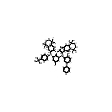 Cc1cc2c3c(c1)N(c1cc(-c4ccccc4)ccc1C)c1c(sc4cc5c(cc14)C(C)(C)CCC5(C)C)B3c1cc3c(cc1N2c1ccc(C(C)(C)C)cc1)C(C)(C)CCC3(C)C